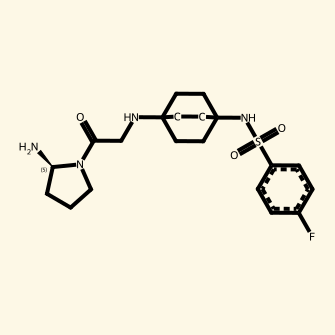 N[C@@H]1CCCN1C(=O)CNC12CCC(NS(=O)(=O)c3ccc(F)cc3)(CC1)CC2